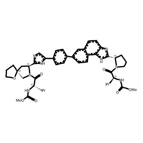 COC(=O)N[C@H](C(=O)N1C[C@]2(CCCO2)C[C@H]1c1ncc(-c2ccc(-c3ccc4c(ccc5nc([C@@H]6CCCN6C(=O)[C@@H](NC(=O)OC)C(C)C)[nH]c54)c3)cc2)[nH]1)C(C)C